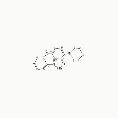 Br.O=c1c(N2CCOCC2)ccc2oc3ccccc3nc1-2